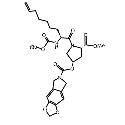 C=CCCCCC[C@H](NC(=O)OC(C)(C)C)C(=O)N1C[C@H](OC(=O)N2Cc3cc4c(cc3C2)OCO4)C[C@H]1C(=O)OC